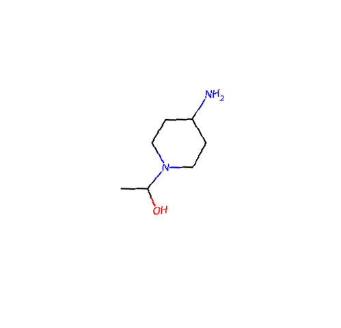 CC(O)N1CCC(N)CC1